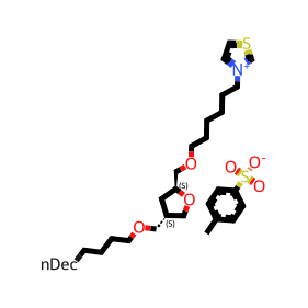 CCCCCCCCCCCCCCOC[C@H]1CO[C@H](COCCCCCC[n+]2ccsc2)C1.Cc1ccc(S(=O)(=O)[O-])cc1